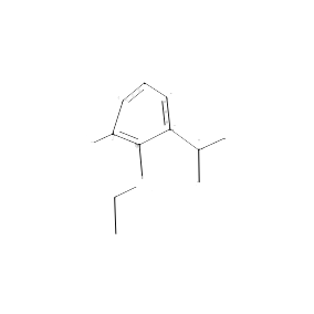 CCOc1c(Cl)cccc1[C](C)C